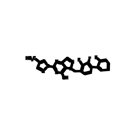 O=C(O)c1cnn(-c2nc(O)c3c(cnn3Cc3ccc(-c4ccccc4F)c(F)c3F)n2)c1